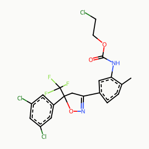 Cc1ccc(C2=NOC(c3cc(Cl)cc(Cl)c3)(C(F)(F)F)C2)cc1NC(=O)OCCCl